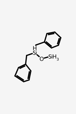 [SiH3]O[SiH](Cc1ccccc1)Cc1ccccc1